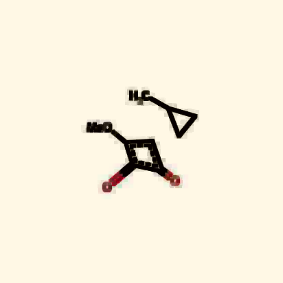 CC1CC1.COc1cc(=O)c1=O